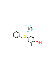 Cc1cc([S+](C)Cc2ccccc2)ccc1O.F[B-](F)(F)F